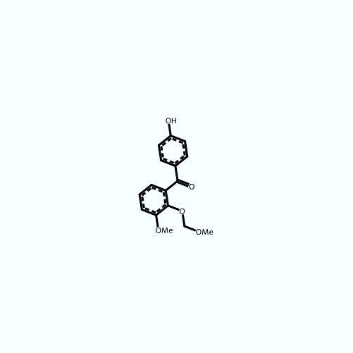 COCOc1c(OC)cccc1C(=O)c1ccc(O)cc1